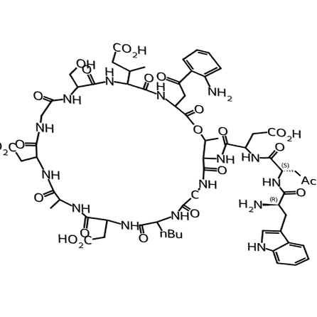 CCCCC1NC(=O)CNC(=O)C(NC(=O)C(CC(=O)O)NC(=O)[C@H](CC(C)=O)NC(=O)[C@H](N)Cc2c[nH]c3ccccc23)C(C)OC(=O)C(CC(=O)c2ccccc2N)NC(=O)C(C(C)CC(=O)O)NC(=O)C(CO)NC(=O)CNC(=O)C(CC(=O)O)NC(=O)C(C)NC(=O)C(CC(=O)O)NC1=O